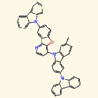 Cc1ccc2c3cc(-n4c5ccccc5c5ccccc54)ccc3n(-c3ccnc4c3oc3ccc(-n5c6ccccc6c6ccccc65)cc34)c2c1